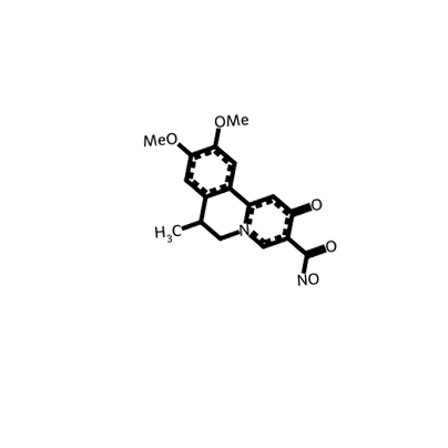 COc1cc2c(cc1OC)C(C)Cn1cc(C(=O)N=O)c(=O)cc1-2